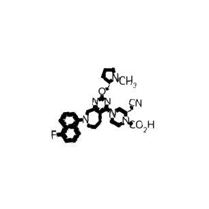 CN1CCC[C@H]1COc1nc2c(c(N3CCN(C(=O)O)[C@@H](CC#N)C3)n1)CCCN(c1cccc3c(F)cccc13)C2